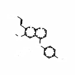 CCOc1cc2c(Nc3ccc(OC)cc3)ccnc2nc1C=CC(=O)O.Cl.O.O